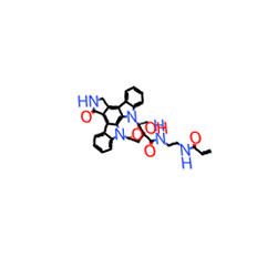 C=CC(=O)NCCNC(=O)[C@@]1(O)CC2O[C@]1(C)n1c3ccccc3c3c4c(c5c6ccccc6n2c5c31)C(=O)NC4